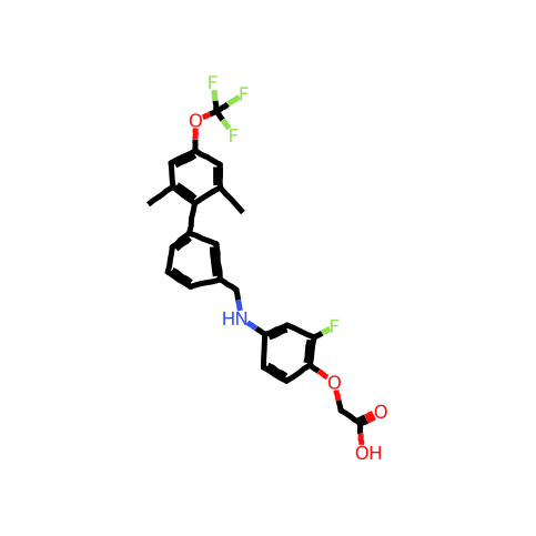 Cc1cc(OC(F)(F)F)cc(C)c1-c1cccc(CNc2ccc(OCC(=O)O)c(F)c2)c1